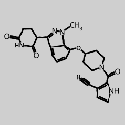 Cn1nc(C2CCC(=O)NC2=O)c2cccc(OC3CCN(C(=O)c4[nH]ccc4C#N)CC3)c21